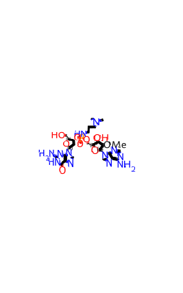 COC1C(O)[C@@H](COP(=O)(NCCCN(C)C)OC2C[C@H](n3cnc4c(=O)[nH]c(N)nc43)O[C@@H]2CO)O[C@H]1n1cnc2c(N)ncnc21